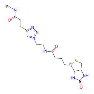 CC(C)NC(=O)CCc1cn(CCNC(=O)CCC[C@@H]2SCC3NC(=O)NC32)nn1